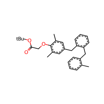 Cc1ccccc1Cc1ccccc1Cc1cc(C)c(OCC(=O)OC(C)(C)C)c(C)c1